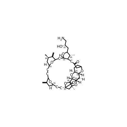 C=C1C[C@@H]2CC[C@@]34C[C@]5(C)O[C@H]6[C@@H](O3)[C@H]3OC(CC[C@@H]3O[C@H]6[C@H]5O4)CC(=O)CC3[C@@H](C)C(C[C@H](O)CN)O[C@H]3CC3O[C@@H](CCC1O2)C[C@@H](C)C3=C